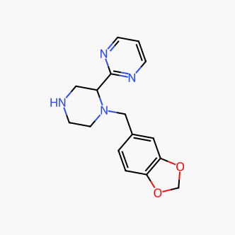 c1cnc(C2CNCCN2Cc2ccc3c(c2)OCO3)nc1